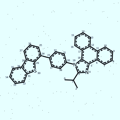 CC(C)c1nc2c3ccccc3c3ccccc3c2n1-c1ccc(-c2cccc3c2sc2ccccc23)cc1